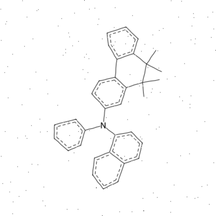 CC1(C)c2ccccc2-c2ccc(N(c3ccccc3)c3cccc4ccccc34)cc2C1(C)C